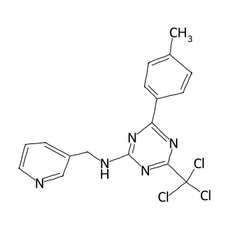 Cc1ccc(-c2nc(NCc3cccnc3)nc(C(Cl)(Cl)Cl)n2)cc1